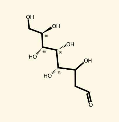 O=[C]CC(O)[C@H](O)[C@@H](O)[C@H](O)[C@H](O)CO